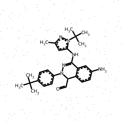 Cc1cc(NC2=NN(c3ccc(C(C)(C)C)cc3)C(C=O)c3ccc(N)cc32)n(C(C)(C)C)n1